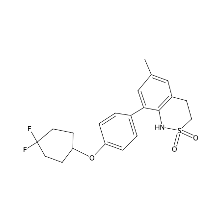 Cc1cc2c(c(-c3ccc(OC4CCC(F)(F)CC4)cc3)c1)NS(=O)(=O)CC2